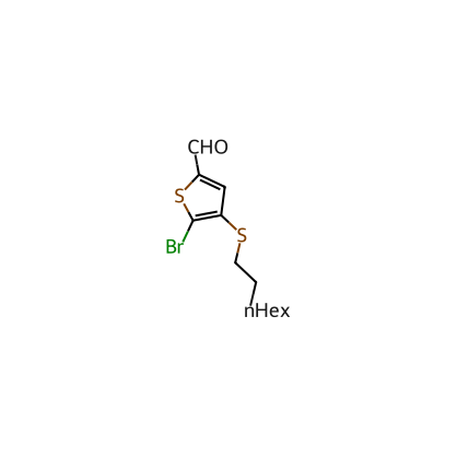 CCCCCCCCSc1cc(C=O)sc1Br